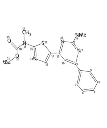 CNc1nc(-c2ccccc2)cc(-c2cnc(N(C)C(=O)OC(C)(C)C)s2)n1